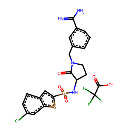 N=C(N)c1cccc(CN2CCC(NS(=O)(=O)c3cc4ccc(Cl)cc4s3)C2=O)c1.O=C(O)C(F)(F)F